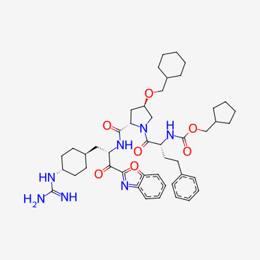 N=C(N)N[C@H]1CC[C@H](C[C@H](NC(=O)[C@@H]2C[C@@H](OCC3CCCCC3)CN2C(=O)[C@@H](CCc2ccccc2)NC(=O)OCC2CCCC2)C(=O)c2nc3ccccc3o2)CC1